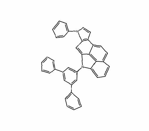 c1ccc(-c2cc(-c3ccccc3)cc(-n3c4cccc5ccc6c7ccn(-c8ccccc8)c7cc3c6c54)c2)cc1